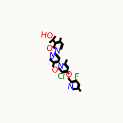 Cc1cnc(COc2cc(C)n(-c3cc(-n4ccc(C)c(C(C)(C)O)c4=O)ncc3C)c(=O)c2Cl)c(F)c1